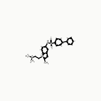 Cc1cc2cc(NS(=O)(=O)c3ccc(-c4ccccc4)cc3)ccc2n1CCN(C)C